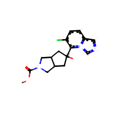 CC(C)(C)OC(=O)N1CC2CC(O)(c3c(Cl)ccc4cncn34)CC2C1